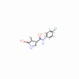 CC1C(=O)NCC1C(=O)Nc1ccc(Cl)cc1